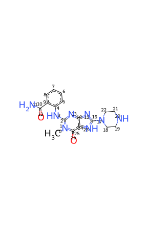 Cn1c(Nc2ccccc2C(N)=O)nc2nc(N3CCNCC3)[nH]c2c1=O